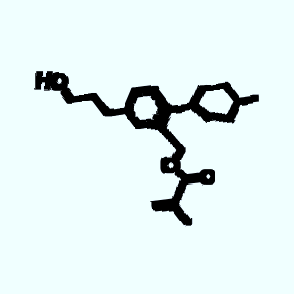 C=C(C)C(=O)OCc1cc(CCCO)ccc1C1CCC(C)CC1